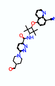 CC1(C)[C@H](NC(=O)c2ccc(N3CCC(C=O)CC3)nn2)C(C)(C)[C@H]1Oc1ccc(C#N)c2ncccc12